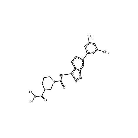 CCN(CC)C(=O)C1CCCN(C(=O)Nc2n[nH]c3cc(-c4cc(C)cc(C)c4)ccc23)C1